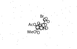 COC(=O)[C@@H]1C[C@H](OC(C)=O)C(=O)[C@H]2[C@@]1(C)CC[C@H]1C(=O)O[C@H](C3=CC(Br)OC3=O)C[C@]21C